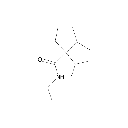 CCNC(=O)C(CC)(C(C)C)C(C)C